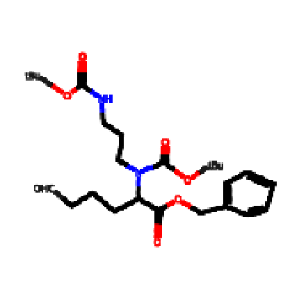 CC(C)(C)OC(=O)NCCCN(C(=O)OC(C)(C)C)C(CCCC=O)C(=O)OCc1ccccc1